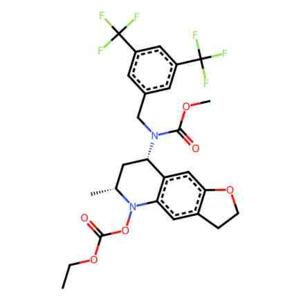 CCOC(=O)ON1c2cc3c(cc2[C@@H](N(Cc2cc(C(F)(F)F)cc(C(F)(F)F)c2)C(=O)OC)C[C@H]1C)OCC3